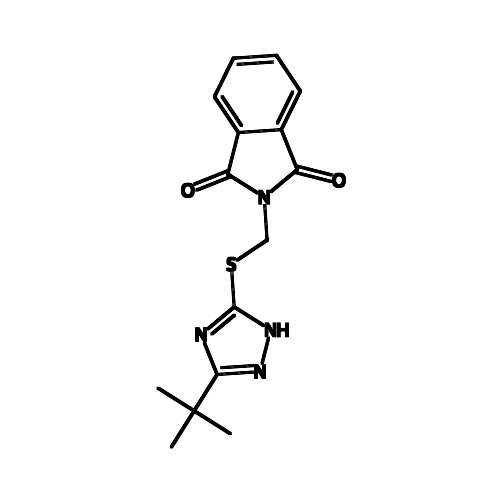 CC(C)(C)c1n[nH]c(SCN2C(=O)c3ccccc3C2=O)n1